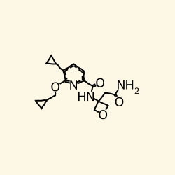 NC(=O)CC1(NC(=O)c2ccc(C3CC3)c(OCC3CC3)n2)COC1